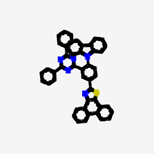 c1ccc(-c2nc(-c3ccccc3)nc(-c3cc(-c4nc5c6ccccc6c6ccccc6c5s4)ccc3-n3c4ccccc4c4ccccc43)n2)cc1